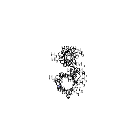 C/C=C1\NC(=O)[C@H](Cc2ccccc2)NC(=O)[C@@H](C(C)C)CC(=O)[C@@H]([C@@H](C)CC)NC(=O)[C@H](CC(=O)[C@H](NC(=O)[C@H](CCCN)CC(=O)[C@H]2CCCN2C(=O)[C@H](CC(=O)[C@@H](NC(=O)[C@@H](NC(=O)[C@H](NC(=O)CC[C@@H](C)CC)C(C)C)[C@@H](C)O)C(C)C)C(C)C)[C@@H](C)CC)[C@@H](C)OC(=O)[C@H](C(C)C)NC1=O